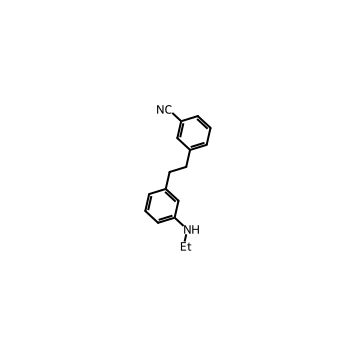 CCNc1cccc(CCc2cccc(C#N)c2)c1